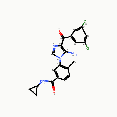 Cc1ccc(C(=O)NC2CC2)cc1-n1cnc(C(=O)c2cc(Cl)cc(Cl)c2)c1N